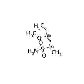 C=C[C@@H](C[C@H](C)S(N)(=O)=O)OC